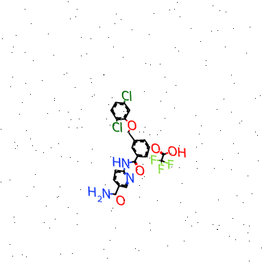 NC(=O)c1ccc(NC(=O)c2cccc(COc3cc(Cl)ccc3Cl)c2)nc1.O=C(O)C(F)(F)F